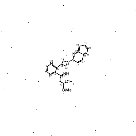 CO[C@H](C)CC(=N)c1nccnc1C1CN(c2ccc3ccccc3n2)C1